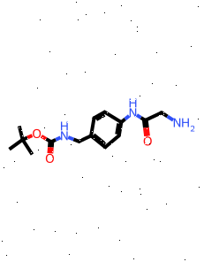 CC(C)(C)OC(=O)NCc1ccc(NC(=O)CN)cc1